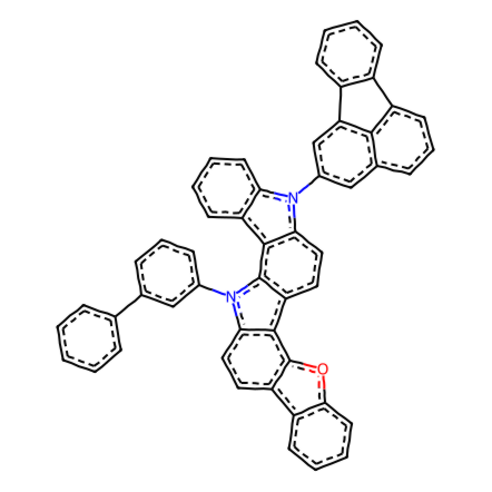 c1ccc(-c2cccc(-n3c4ccc5c6ccccc6oc5c4c4ccc5c(c6ccccc6n5-c5cc6c7c(cccc7c5)-c5ccccc5-6)c43)c2)cc1